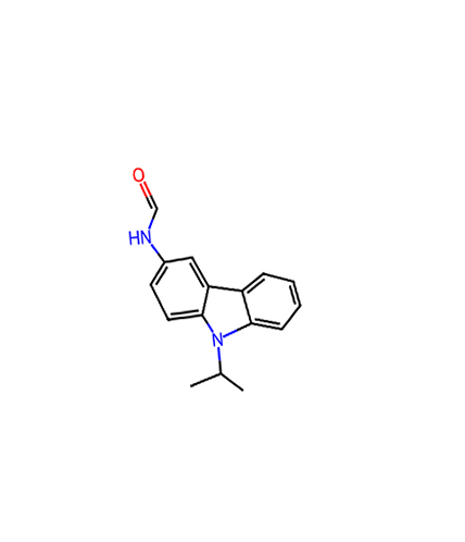 CC(C)n1c2ccccc2c2cc(NC=O)ccc21